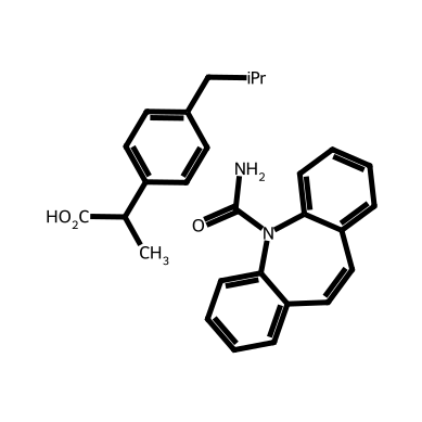 CC(C)Cc1ccc(C(C)C(=O)O)cc1.NC(=O)N1c2ccccc2C=Cc2ccccc21